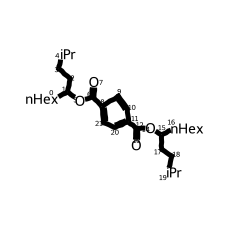 CCCCCCC(CCC(C)C)OC(=O)c1ccc(C(=O)OC(CCCCCC)CCC(C)C)cc1